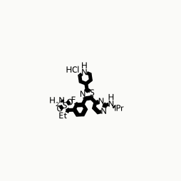 CCC(c1cccc(-c2nc(C3CCNCC3)sc2-c2ccnc(NC(C)C)n2)c1F)S(N)(=O)=O.Cl